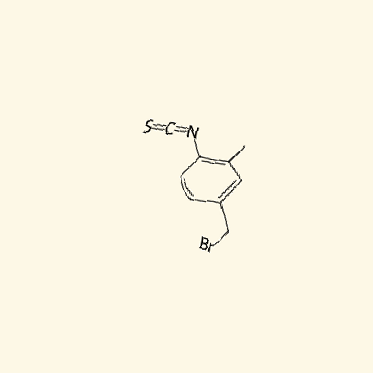 Cc1cc(CBr)ccc1N=C=S